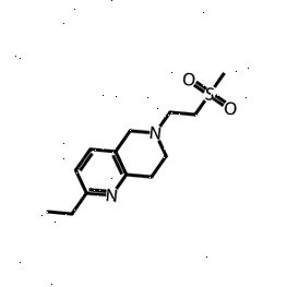 CCc1ccc2c(n1)CCN(CCS(C)(=O)=O)C2